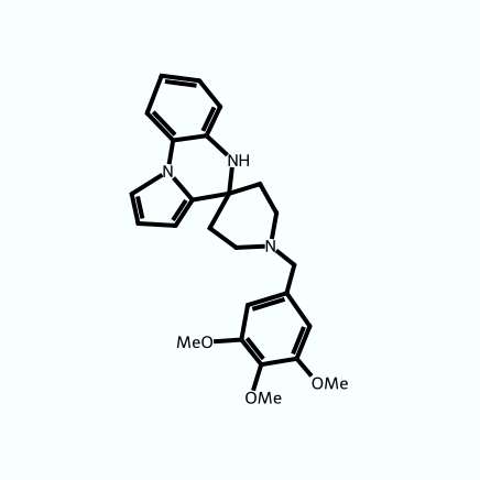 COc1cc(CN2CCC3(CC2)Nc2ccccc2-n2cccc23)cc(OC)c1OC